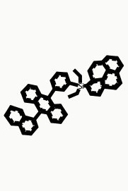 CC[Si](CC)(c1cccc(-c2c3ccccc3c(-c3cccc4ccccc34)c3ccccc23)c1)c1ccc2ccc3cccc4ccc1c2c34